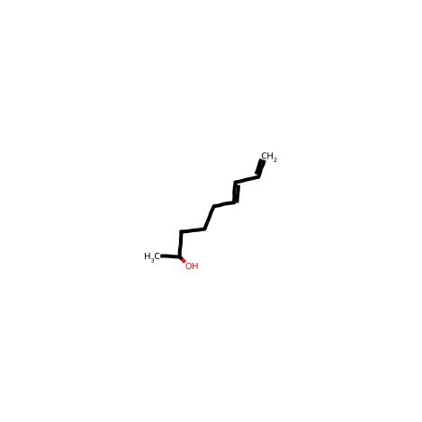 C=CC=CCCCC(C)O